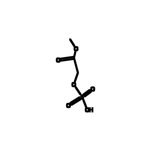 COC(=O)COS(=O)(=O)O